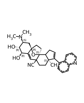 CN(C)[C@H]1C[C@@]23CC[C@]4(O2)C2CC=C(c5cccc6ncccc56)[C@@]2(C)CCC4(C#N)C=C3[C@@H](O)[C@@H]1O